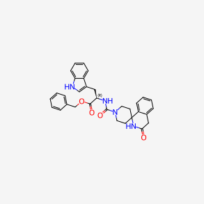 O=C1Cc2ccccc2C2(CCN(C(=O)N[C@H](Cc3c[nH]c4ccccc34)C(=O)OCc3ccccc3)CC2)N1